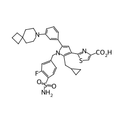 NS(=O)(=O)c1ccc(Cn2c(-c3cccc(N4CCC5(CCC5)CC4)c3)cc(-c3nc(C(=O)O)cs3)c2CC2CC2)cc1F